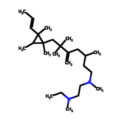 C=C(CC(C)CCN(C)CCN(C)CC)C(C)(C)CC1(C)C(C)C1(C)C=CC